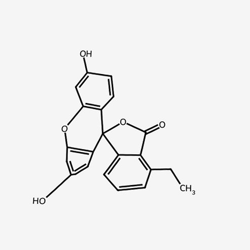 CCc1cccc2c1C(=O)OC21c2ccc(O)cc2Oc2cc(O)ccc21